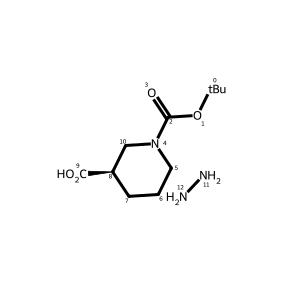 CC(C)(C)OC(=O)N1CCC[C@@H](C(=O)O)C1.NN